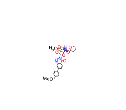 COCc1ccc(-c2ccc3c(=O)n(CC[C@](C)(C(=O)NOC4CCCCO4)S(C)(=O)=O)cnc3c2)cc1